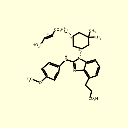 C[C@H]1C[C@@H](n2c(Nc3ccc(OC(F)(F)F)cc3)nc3c(CCC(=O)O)cccc32)CC(C)(C)C1.O=C(O)/C=C/C(=O)O